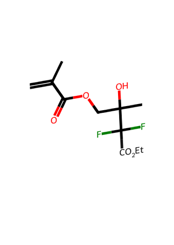 C=C(C)C(=O)OCC(C)(O)C(F)(F)C(=O)OCC